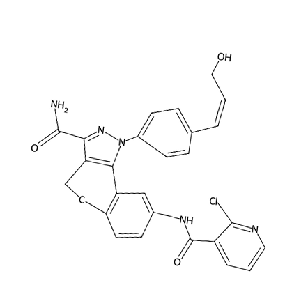 NC(=O)c1nn(-c2ccc(/C=C\CO)cc2)c2c1CCc1ccc(NC(=O)c3cccnc3Cl)cc1-2